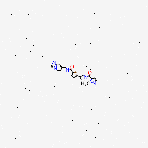 Cn1nccc1C(=O)N1CCC(c2ccc(C(=O)NCc3ccn4ccnc4c3)s2)C1